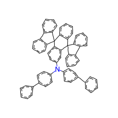 c1ccc(-c2ccc(N(c3ccc(-c4ccccc4)cc3)c3ccc4c(c3)C3(c5ccccc5-c5ccccc53)c3ccccc3C43c4ccccc4-c4ccccc43)cc2)cc1